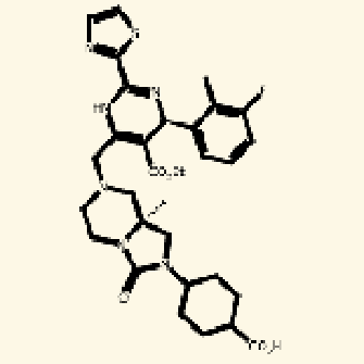 CCOC(=O)C1=C(CN2CCN3C(=O)N(C4CCC(C(=O)O)CC4)C[C@]3(C)C2)NC(c2nccs2)=N[C@H]1c1cccc(F)c1C